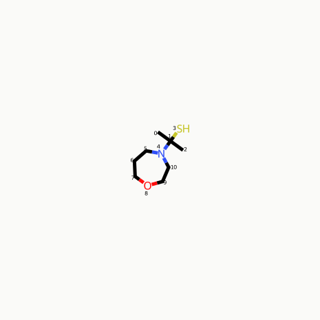 CC(C)(S)N1CCCOCC1